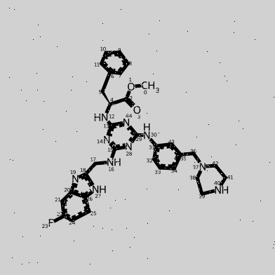 COC(=O)[C@H](Cc1ccccc1)Nc1nc(NCc2nc3cc(F)ccc3[nH]2)nc(Nc2cccc(CN3CCNCC3)c2)n1